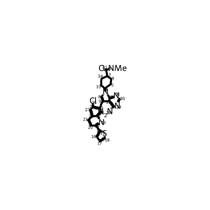 CNC(=O)C1CCC(n2cc(-c3cc4nc(-c5cccs5)ccc4cc3Cl)c3c(N)ncnc32)CC1